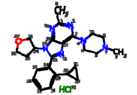 Cc1nc(N2CCN(C)CC2)c2nc(-c3ccccc3C3CC3)n(C3CCOC3)c2n1.Cl